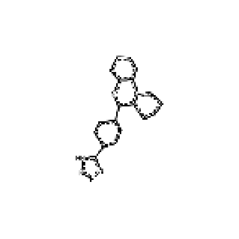 c1ccc2c(c1)nc(-c1ccc(-c3nnn[nH]3)cc1)c1ccccc12